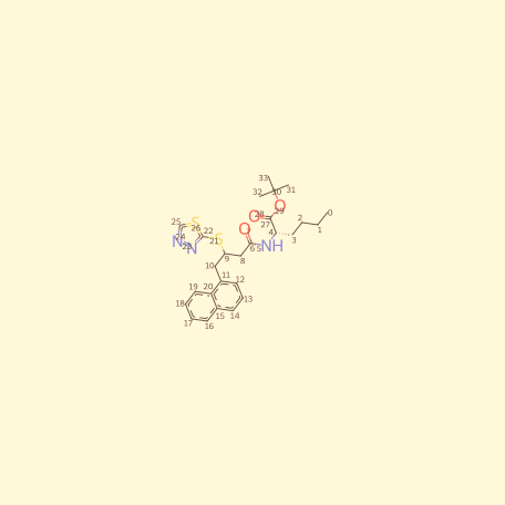 CCCC[C@H](NC(=O)CC(Cc1cccc2ccccc12)Sc1nncs1)C(=O)OC(C)(C)C